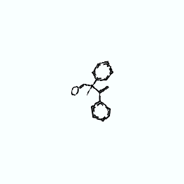 C=C(c1ccccc1)C(C)(C=O)c1ccccc1